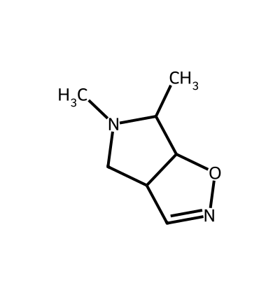 CC1C2ON=CC2CN1C